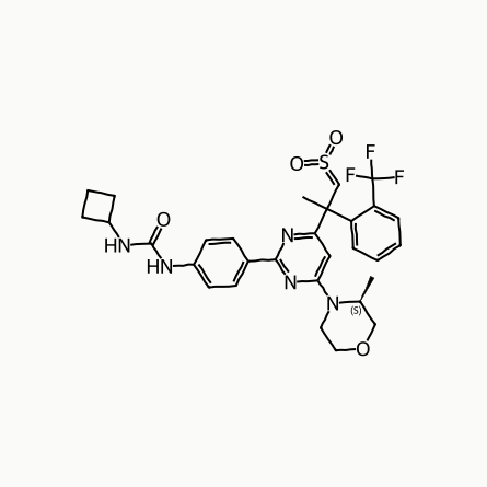 C[C@H]1COCCN1c1cc(C(C)(C=S(=O)=O)c2ccccc2C(F)(F)F)nc(-c2ccc(NC(=O)NC3CCC3)cc2)n1